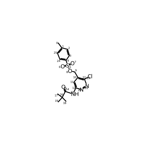 Cc1ccc(S(=O)(=O)OCc2cc(NC(=O)C(C)(C)C)nnc2Cl)cc1